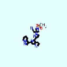 CS(=O)(=O)N1CC(CC#N)(n2ccc(-c3nc(-c4cnn5ccccc45)cc4ncccc34)n2)C1